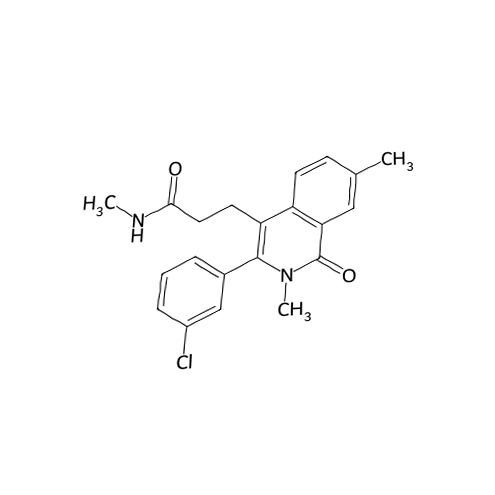 CNC(=O)CCc1c(-c2cccc(Cl)c2)n(C)c(=O)c2cc(C)ccc12